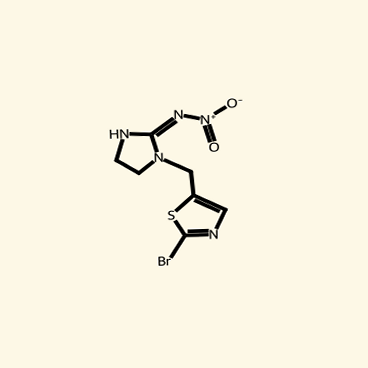 O=[N+]([O-])N=C1NCCN1Cc1cnc(Br)s1